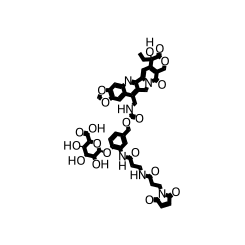 CC[C@@]1(O)C(=O)OCc2c1cc1n(c2=O)Cc2c-1nc1cc3c(cc1c2CNC(=O)OCc1ccc(O[C@@H]2OC(C(=O)O)[C@@H](O)[C@H](O)C2O)c(NC(=O)CCNC(=O)CCN2C(=O)C=CC2=O)c1)OCO3